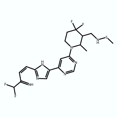 CSNCC1C(C)N(c2cc(-c3cnc(/C=C\C(=N)C(F)F)[nH]3)ncn2)CCC1(F)F